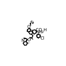 C[C@@H](COc1ccnc2c1[C@H](C)CCC2)CC1Cc2ccc(OCCN(C)C)cc2C12CCC(Nc1cccc(Cl)c1)(C(=O)O)CC2